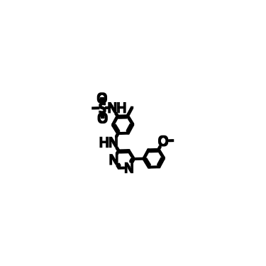 COc1cccc(-c2cc(Nc3ccc(C)c(NS(C)(=O)=O)c3)ncn2)c1